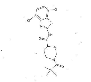 CC(C)(C)C(=O)N1CCC(C(=O)Nc2nc3c(Cl)ccc(Cl)c3s2)CC1